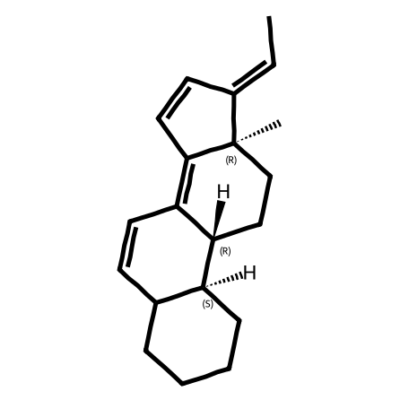 CC=C1C=CC2=C3C=CC4CCCC[C@@H]4[C@H]3CC[C@]12C